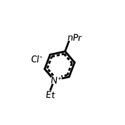 CCCc1cc[n+](CC)cc1.[Cl-]